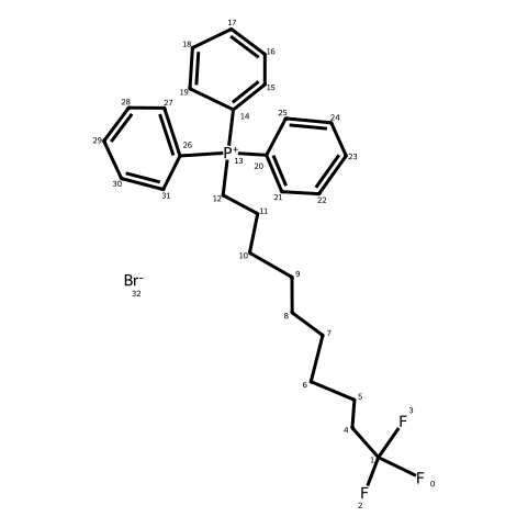 FC(F)(F)CCCCCCCCC[P+](c1ccccc1)(c1ccccc1)c1ccccc1.[Br-]